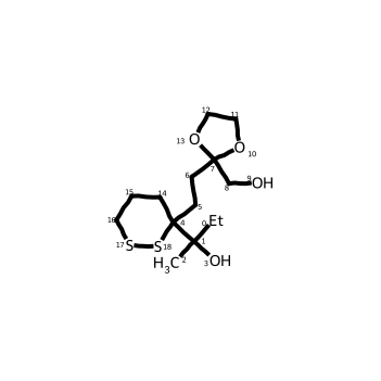 CCC(C)(O)C1(CCC2(CO)OCCO2)CCCSS1